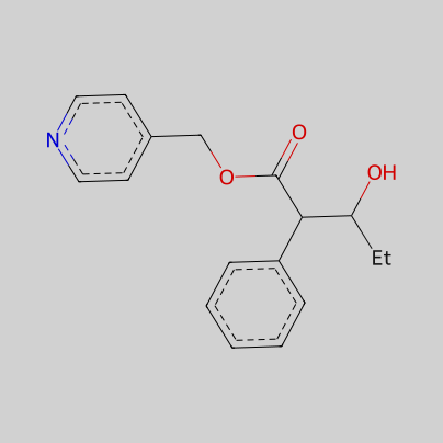 CCC(O)C(C(=O)OCc1ccncc1)c1ccccc1